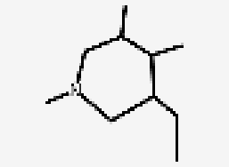 CCC1CN(C)CC(C)C1C